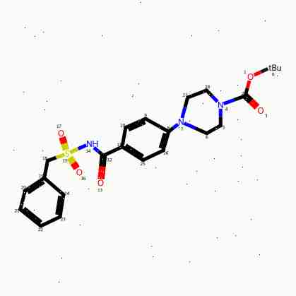 CC(C)(C)OC(=O)N1CCN(c2ccc(C(=O)NS(=O)(=O)Cc3ccccc3)cc2)CC1